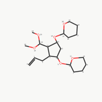 C=CCC1C(OC2CCCCO2)CC(OC2CCCCO2)C1C(OC)OC